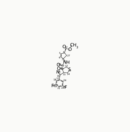 COC(=O)[C@@H]1C=C[C@H](NC(=O)C23CSCC2C(c2cc(F)cc(F)c2)=NO3)C1